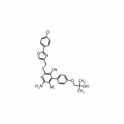 [C-]#[N+]c1c(N)nc(SCc2coc(-c3ccc(Cl)cc3)n2)c(C#N)c1-c1ccc(OCC(C)(C)O)cc1